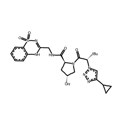 CC(C)(C)[C@@H](C(=O)N1C[C@H](O)C[C@H]1C(=O)NCC1=NS(=O)(=O)c2ccccc2N1)n1cc(C2CC2)nn1